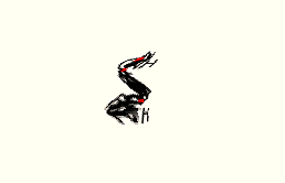 CN1CCC(NC(=O)c2ccc3c(c2)sc2nc(-c4ccc(C5(F)CCNCC5)cc4F)cn23)CC1